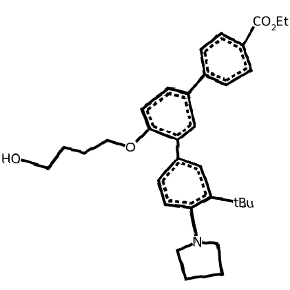 CCOC(=O)c1ccc(-c2ccc(OCCCCO)c(-c3ccc(N4CCCC4)c(C(C)(C)C)c3)c2)cc1